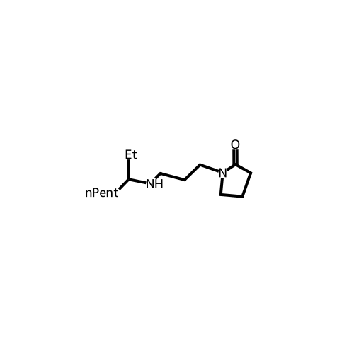 CCCCCC(CC)NCCCN1CCCC1=O